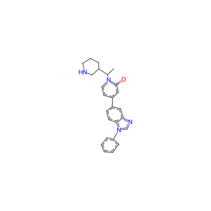 CC(C1CCCNC1)n1ccc(-c2ccc3c(c2)ncn3-c2ccccc2)cc1=O